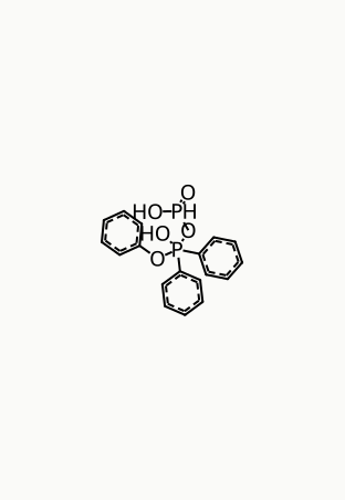 O=[PH](O)OP(O)(Oc1ccccc1)(c1ccccc1)c1ccccc1